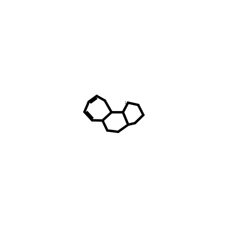 [C]1CCCC2CCC3C=CC=CCC3C12